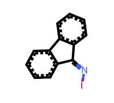 IN=C1c2ccccc2-c2ccccc21